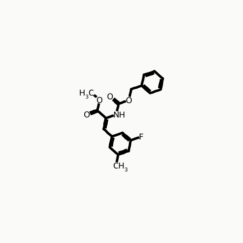 COC(=O)/C(=C/c1cc(C)cc(F)c1)NC(=O)OCc1ccccc1